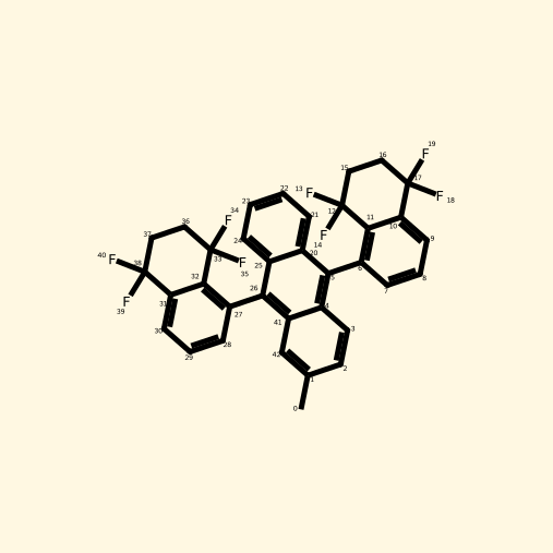 Cc1ccc2c(-c3cccc4c3C(F)(F)CCC4(F)F)c3ccccc3c(-c3cccc4c3C(F)(F)CCC4(F)F)c2c1